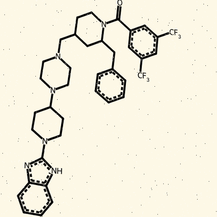 O=C(c1cc(C(F)(F)F)cc(C(F)(F)F)c1)N1CCC(CN2CCN(C3CCN(c4nc5ccccc5[nH]4)CC3)CC2)CC1Cc1ccccc1